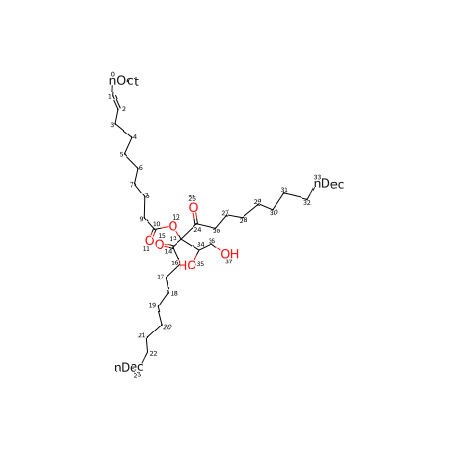 CCCCCCCCC=CCCCCCCCC(=O)OC(C(=O)CCCCCCCCCCCCCCCCC)(C(=O)CCCCCCCCCCCCCCCCC)C(O)CO